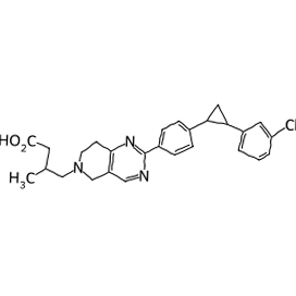 CC(CC(=O)O)CN1CCc2nc(-c3ccc(C4CC4c4cccc(Cl)c4)cc3)ncc2C1